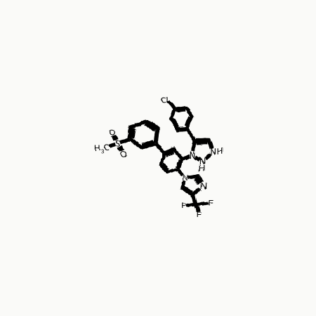 CS(=O)(=O)c1cccc(-c2ccc(-n3cnc(C(F)(F)F)c3)c(N3NNC=C3c3ccc(Cl)cc3)c2)c1